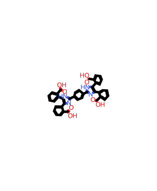 O=C(O)c1ccccc1-c1nc(-c2ccc(-c3nc(-c4ccccc4C(=O)O)c(-c4ccccc4C(=O)O)[nH]3)cc2)[nH]c1-c1ccccc1C(=O)O